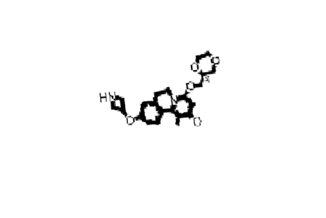 Cc1c2n(c(OC[C@@H]3COCCO3)cc1=O)CCc1cc(OC3CNC3)ccc1-2